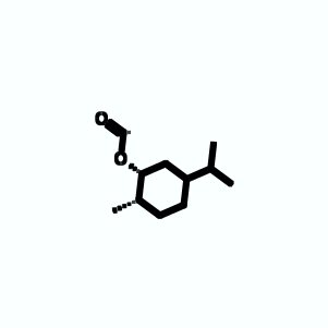 CC(C)C1CC[C@H](C)[C@H](O[C]=O)C1